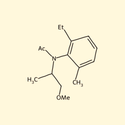 CCc1cccc(C)c1N(C(C)=O)C(C)COC